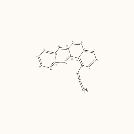 C=C=Cc1cccc2ccc3cc4ccccc4cc3c12